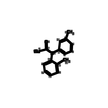 Cc1cccc(N(C(=O)C(C)(C)C)c2ccccc2C)c1